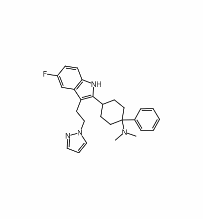 CN(C)C1(c2ccccc2)CCC(c2[nH]c3ccc(F)cc3c2CCn2cccn2)CC1